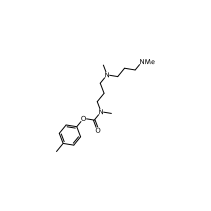 CNCCCN(C)CCCN(C)C(=O)Oc1ccc(C)cc1